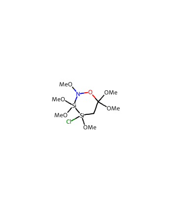 CON1OC(OC)(OC)C[Si](Cl)(OC)[Si]1(OC)OC